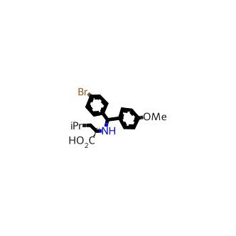 COc1ccc(C(N[C@@H](CC(C)C)C(=O)O)c2ccc(Br)cc2)cc1